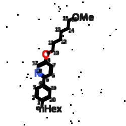 CCCCCCc1ccc(-c2ccc(OCCCCCCOC)cn2)cc1